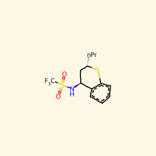 CCC[C@H]1C[C@H](NS(=O)(=O)C(F)(F)F)c2ccccc2S1